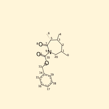 CC1CC(C)[C@@H](C)C(=O)N(C(=O)OCc2ccccc2)C1